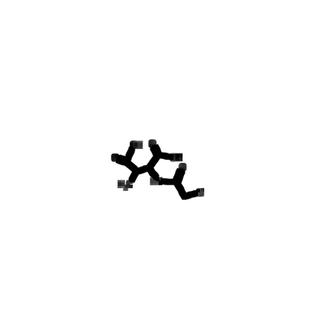 CC(C(=O)O)C(NC(=O)CCl)C(=O)O